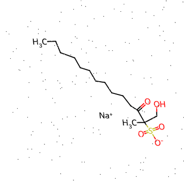 CCCCCCCCCCCC(=O)C(C)(CO)S(=O)(=O)[O-].[Na+]